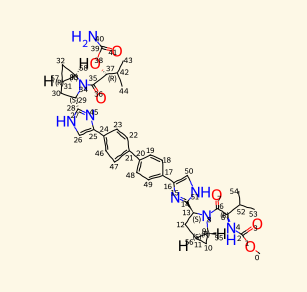 COC(=O)N[C@@H](C(=O)N1[C@@H]2C[C@H]2C[C@H]1c1nc(-c2ccc(-c3ccc(-c4c[nH]c([C@@H]5C[C@H]6C[C@H]6N5C(=O)[C@H](OC(N)=O)C(C)C)n4)cc3)cc2)c[nH]1)C(C)C